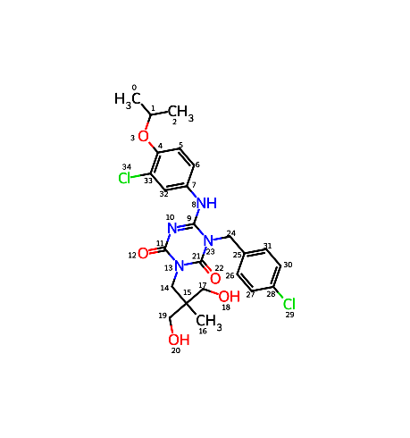 CC(C)Oc1ccc(Nc2nc(=O)n(CC(C)(CO)CO)c(=O)n2Cc2ccc(Cl)cc2)cc1Cl